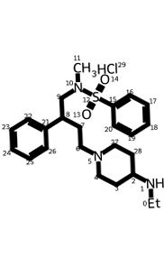 CCNC1CCN(CCC(CN(C)S(=O)(=O)c2ccccc2)c2ccccc2)CC1.Cl